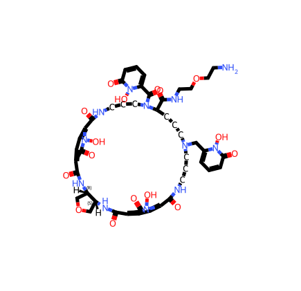 NCCOCCNC(=O)C1CCCN(Cc2cccc(=O)n2O)CCCNC(=O)c2ccc(c(=O)n2O)C(=O)N[C@@H]2COC[C@@H]2NC(=O)c2ccc(n(O)c2=O)C(=O)NCCCN1C(=O)c1cccc(=O)n1O